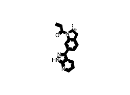 C=CC(=O)N1c2cc(-c3n[nH]c4ncccc34)ccc2C[C@H]1C